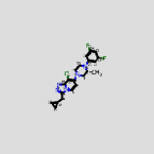 C[C@@H]1CN(c2ccn3c(CC4CC4)nnc3c2Cl)CCN1c1cc(F)cc(F)c1